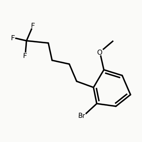 COc1cccc(Br)c1CCCCC(F)(F)F